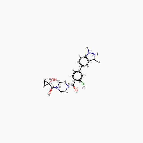 CC1NN(C)c2ccc(-c3ccc(C(=O)N4CCN(C(=O)C5(O)CC5)CC4)c(F)c3)cc21